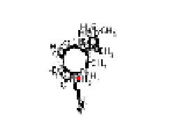 CC[C@H]1OC(=O)[C@](C)(F)C(=O)[C@@H](C)[C@@H](O[C@@H]2OC(C)CC(N(C)C)C2O)[C@](C)(OC)C[C@@H](C)CN(C)[C@H](C)[C@H]2N(CCCCN=[N+]=[N-])C(=O)O[C@]12C